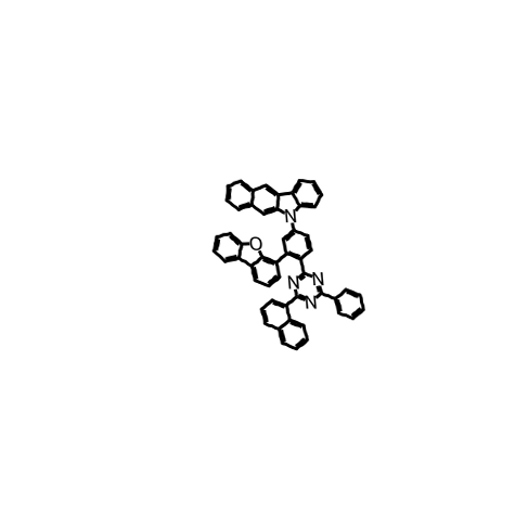 c1ccc(-c2nc(-c3ccc(-n4c5ccccc5c5cc6ccccc6cc54)cc3-c3cccc4c3oc3ccccc34)nc(-c3cccc4ccccc34)n2)cc1